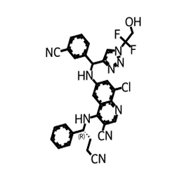 N#CCC[C@@H](Nc1c(C#N)cnc2c(Cl)cc(NC(c3cccc(C#N)c3)c3cn(C(F)(F)CO)nn3)cc12)c1ccccc1